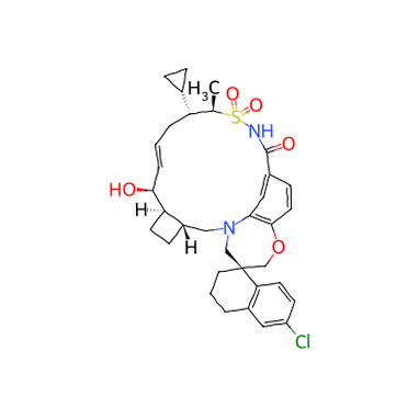 C[C@@H]1[C@@H](C2CC2)C/C=C/[C@H](O)[C@@H]2CC[C@H]2CN2C[C@@]3(CCCc4cc(Cl)ccc43)COc3ccc(cc32)C(=O)NS1(=O)=O